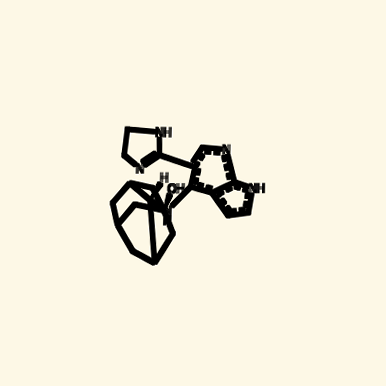 O[C@]12CC3CC(C1)[C@@H](Nc1c(C4=NCCN4)cnc4[nH]ccc14)C(C3)C2